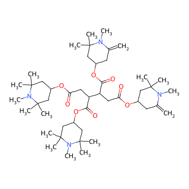 C=C1CC(OC(=O)CC(C(=O)OC2CC(=C)N(C)C(C)(C)C2)C(CC(=O)OC2CC(C)(C)N(C)C(C)(C)C2)C(=O)OC2CC(C)(C)N(C)C(C)(C)C2)CC(C)(C)N1C